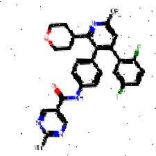 CC(C)c1ncc(C(=O)Nc2ccc(-c3c(-c4cc(F)ccc4F)cc(C(F)(F)F)nc3C3CCOCC3)cc2)cn1